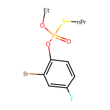 CCCSP(=O)(OCC)Oc1ccc(F)cc1Br